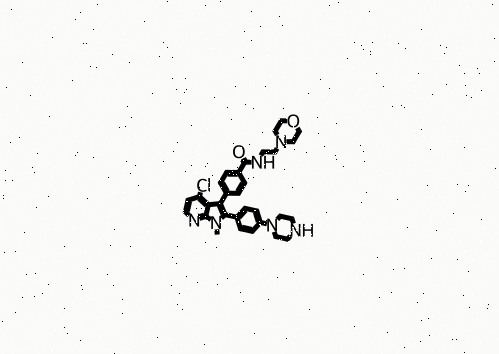 Cn1c(-c2ccc(N3CCNCC3)cc2)c(-c2ccc(C(=O)NCCN3CCOCC3)cc2)c2c(Cl)ccnc21